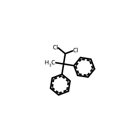 CC(c1ccccc1)(c1ccccc1)C(Cl)Cl